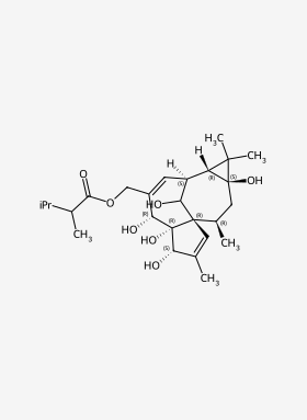 CC1=C[C@]23C(O)[C@@H](C=C(COC(=O)C(C)C(C)C)[C@@H](O)[C@]2(O)[C@H]1O)[C@@H]1C(C)(C)[C@]1(O)C[C@H]3C